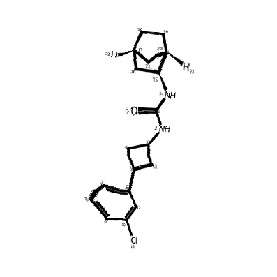 O=C(NC1CC(c2cccc(Cl)c2)C1)N[C@H]1C[C@@H]2CC[C@H]1C2